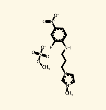 COS(=O)(=O)[O-].C[n+]1ccn(CCCNc2ccc([N+](=O)[O-])cc2F)c1